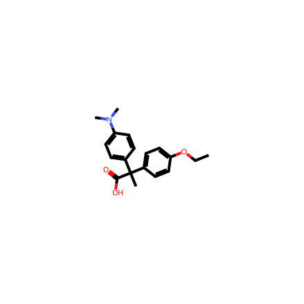 CCOc1ccc(C(C)(C(=O)O)c2ccc(N(C)C)cc2)cc1